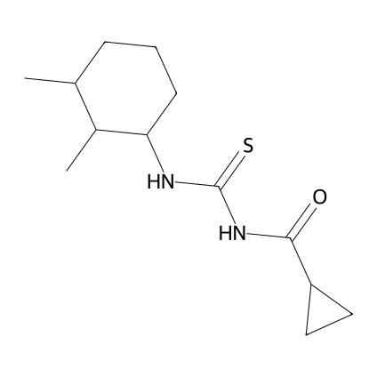 CC1CCCC(NC(=S)NC(=O)C2CC2)C1C